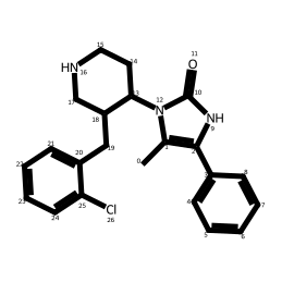 Cc1c(-c2ccccc2)[nH]c(=O)n1C1CCNCC1Cc1ccccc1Cl